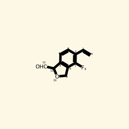 C=Cc1ccc2c(c1F)COC2C=O